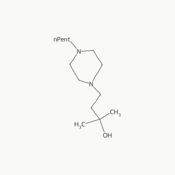 CCCCCN1CCN(CCC(C)(C)O)CC1